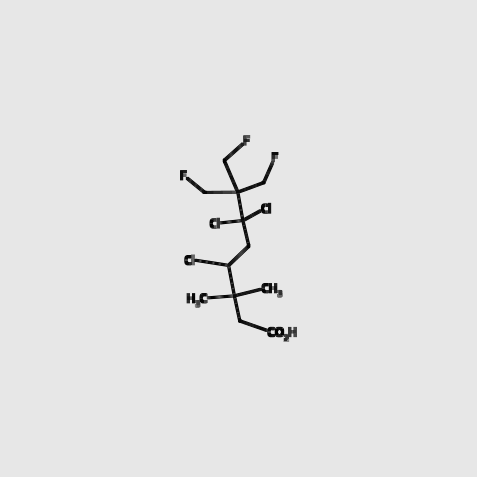 CC(C)(CC(=O)O)C(Cl)CC(Cl)(Cl)C(CF)(CF)CF